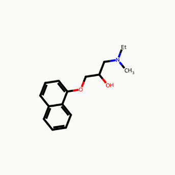 CCN(C)CC(O)COc1cccc2ccccc12